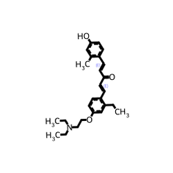 CCc1cc(OCCN(CC)CC)ccc1/C=C/C(=O)/C=C/c1ccc(O)cc1C